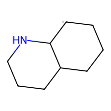 [CH]1CCCC2CCCNC12